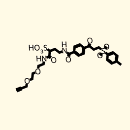 C#CCOCCOCCNC(=O)C(CCNC(=O)c1ccc(C(=O)CCS(=O)(=O)c2ccc(C)cc2)cc1)S(=O)(=O)O